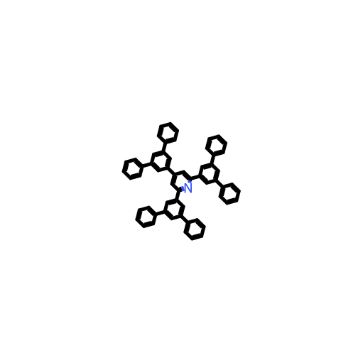 c1ccc(-c2cc(-c3ccccc3)cc(-c3cc(-c4cc(-c5ccccc5)cc(-c5ccccc5)c4)nc(-c4cc(-c5ccccc5)cc(-c5ccccc5)c4)c3)c2)cc1